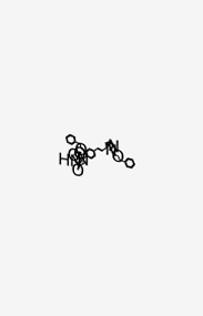 O=C1CN(c2ccc(/C=C/c3ccnn3COCc3ccccc3)cc2OCc2ccccc2)S(=O)(=O)N1